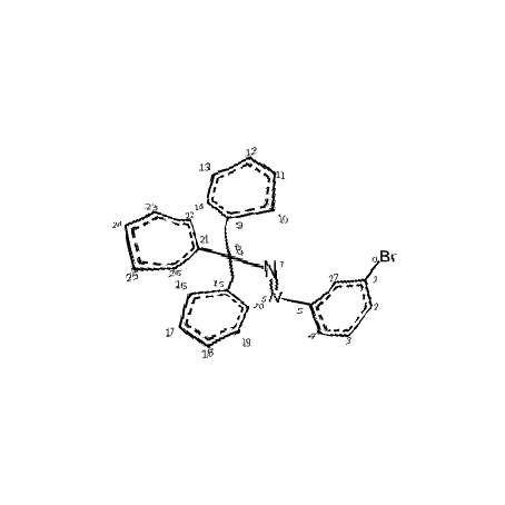 Brc1cccc(N=NC(c2ccccc2)(c2ccccc2)c2ccccc2)c1